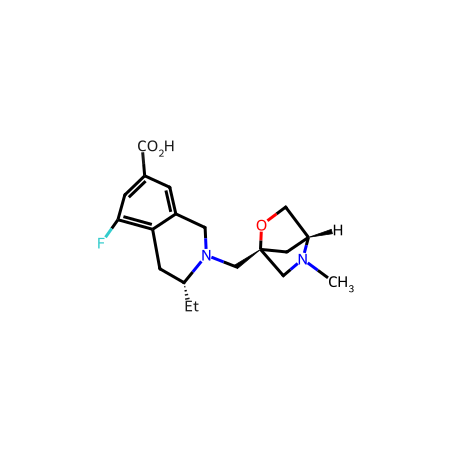 CC[C@@H]1Cc2c(F)cc(C(=O)O)cc2CN1C[C@]12C[C@H](CO1)N(C)C2